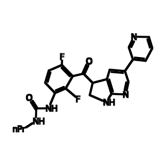 CCCNC(=O)Nc1ccc(F)c(C(=O)C2CNc3ncc(-c4cccnc4)cc32)c1F